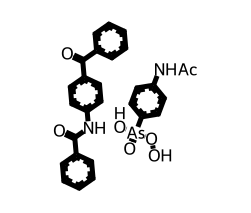 CC(=O)Nc1ccc([As](=O)(O)OO)cc1.O=C(Nc1ccc(C(=O)c2ccccc2)cc1)c1ccccc1